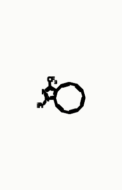 CC(C)n1nc(C(F)(F)F)c2c1\C=C/C=C\C=C/C=C\C=C/2